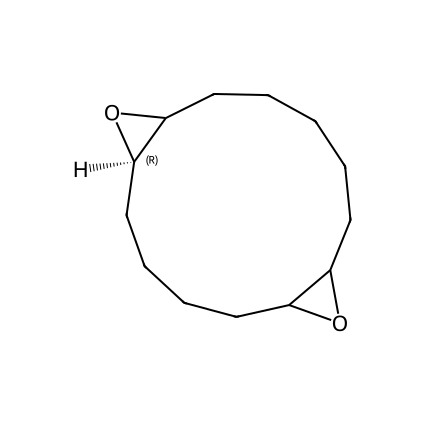 C1CCC2OC2CCCC[C@H]2OC2CC1